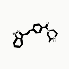 CC1CN(C(=O)c2ccc(C=Cc3n[nH]c4ccccc34)cc2)CCN1